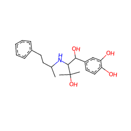 CC(CCc1ccccc1)NC(C(O)c1ccc(O)c(O)c1)C(C)(C)O